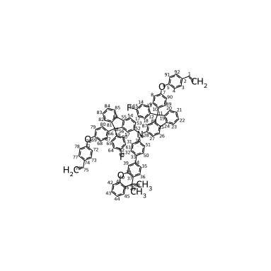 C=Cc1ccc(Oc2ccc(C3(c4ccc(F)cc4)c4ccccc4-c4ccc(N(c5ccc(-c6ccc7c(c6)Oc6ccccc6C7(C)C)cc5)c5ccc6c(c5)C(c5ccc(F)cc5)(c5ccc(Oc7ccc(C=C)cc7)cc5)c5ccccc5-6)cc43)cc2)cc1